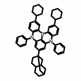 c1ccc(N2c3ccc(C4CCCCC4)cc3B3c4cc(C5CCCCC5)ccc4N(c4ccccc4)c4cc(C56CCC7CCC(CC7C5)C6)cc2c43)cc1